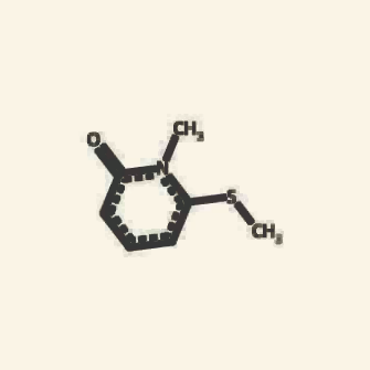 CSc1cccc(=O)n1C